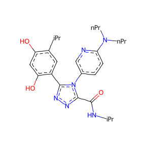 CCCN(CCC)c1ccc(-n2c(C(=O)NC(C)C)nnc2-c2cc(C(C)C)c(O)cc2O)cn1